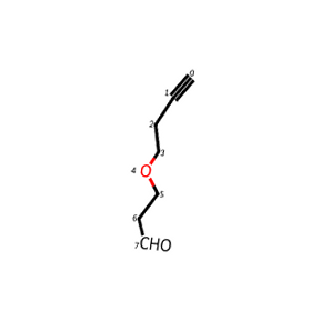 C#CCCOCCC=O